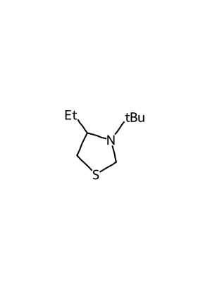 CCC1CSCN1C(C)(C)C